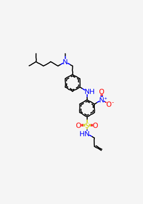 C=CCNS(=O)(=O)c1ccc(Nc2cccc(CN(C)CCCC(C)C)c2)c([N+](=O)[O-])c1